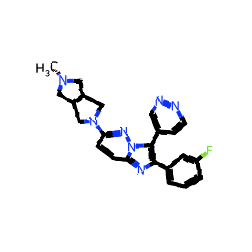 CN1CC2CN(c3ccc4nc(-c5cccc(F)c5)c(-c5ccnnc5)n4n3)CC2C1